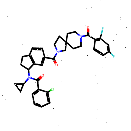 O=C(c1ccc2c(c1)C(N(C(=O)c1ccccc1Cl)C1CC1)CC2)N1CCC2(CCN(C(=O)c3ccc(F)cc3F)CC2)C1